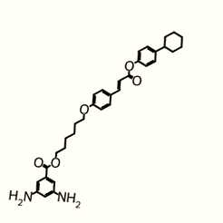 Nc1cc(N)cc(C(=O)OCCCCCCOc2ccc(/C=C/C(=O)Oc3ccc(C4CCCCC4)cc3)cc2)c1